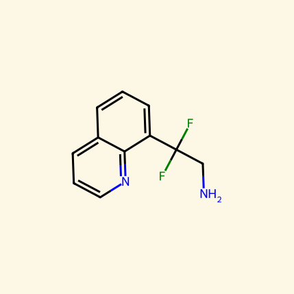 NCC(F)(F)c1cccc2cccnc12